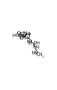 CNCCNC[C@H](O)c1cc([C@@H]2CC3(CC3)[C@@H]3CN2C(=O)N3OS(=O)(=O)O)no1